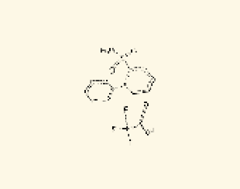 NS(=O)(=O)c1ccccc1-c1ccccc1.O=C(O)C(F)(F)F